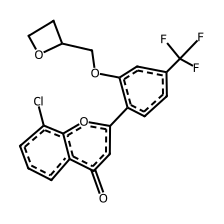 O=c1cc(-c2ccc(C(F)(F)F)cc2OCC2CCO2)oc2c(Cl)cccc12